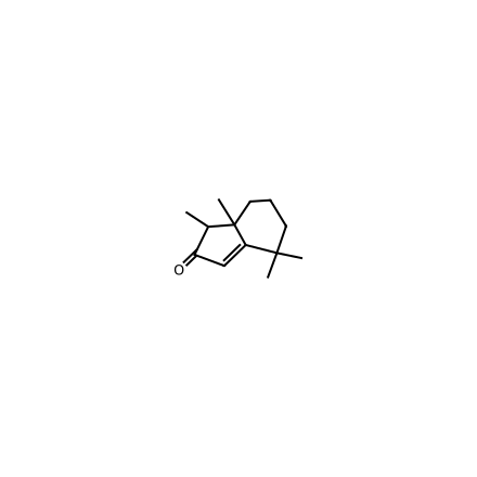 CC1C(=O)C=C2C(C)(C)CCCC21C